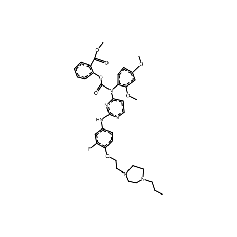 CCCN1CCN(CCOc2ccc(Nc3nccc(N(C(=O)Oc4ccccc4C(=O)OC)c4ccc(OC)cc4OC)n3)cc2F)CC1